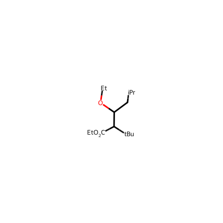 CCOC(=O)C(C(CC(C)C)OCC)C(C)(C)C